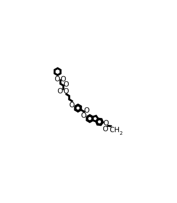 C=CC(=O)Oc1ccc2c(c1)Cc1cc(OC(=O)c3ccc(OCCCCOC(=O)C(=O)CC(=O)OC4CCCCC4)cc3)ccc1-2